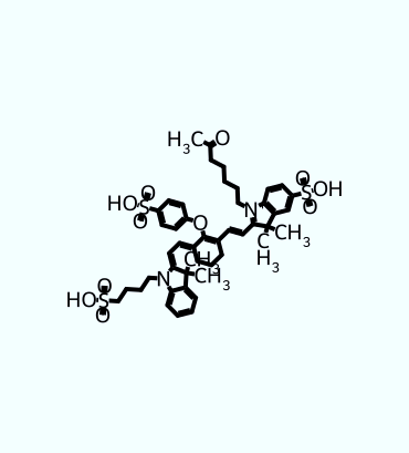 CC(=O)CCCCC[N+]1=C(/C=C/C2=C(Oc3ccc(S(=O)(=O)O)cc3)C(=C/C=C3/N(CCCCS(=O)(=O)O)c4ccccc4C3(C)C)/CCC2)C(C)(C)c2cc(S(=O)(=O)O)ccc21